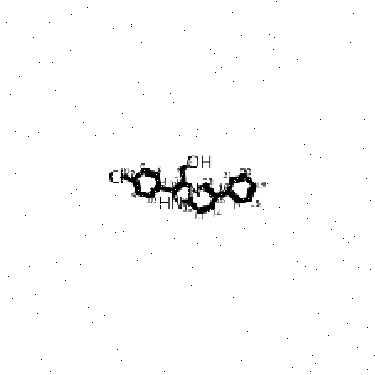 OCC1=C(c2ccc(Cl)cc2)NC2C=CC(c3ccccc3)=CN12